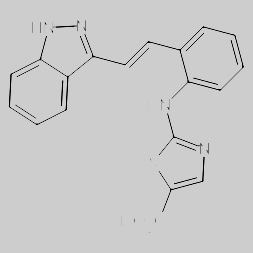 O=C(O)c1cnc(Nc2ccccc2C=Cc2n[nH]c3ccccc23)s1